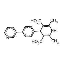 CC1=C(C(=O)O)C(c2ccc(-c3cccnc3)cc2)C(C(=O)O)=C(C)N1